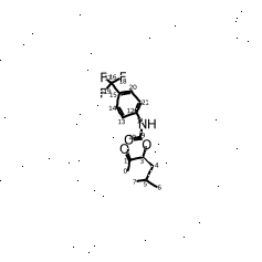 CC(=O)[C@H](CC(C)C)OC(=O)Nc1ccc(C(F)(F)F)cc1